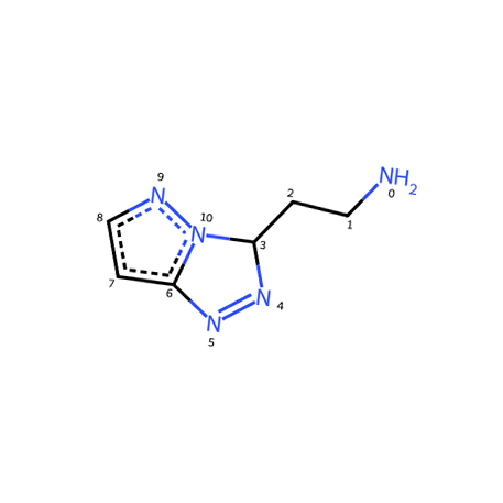 NCCC1N=Nc2ccnn21